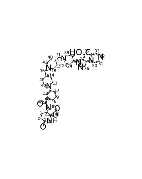 O=C1CCC(N2C(=O)c3ccc(N4CCC(CN5CCC(CN6CCC(n7cc(N8C=CN=CC8C(=O)O)cn7)CC6)CC5)CC4)cc3C2=O)C(=O)N1